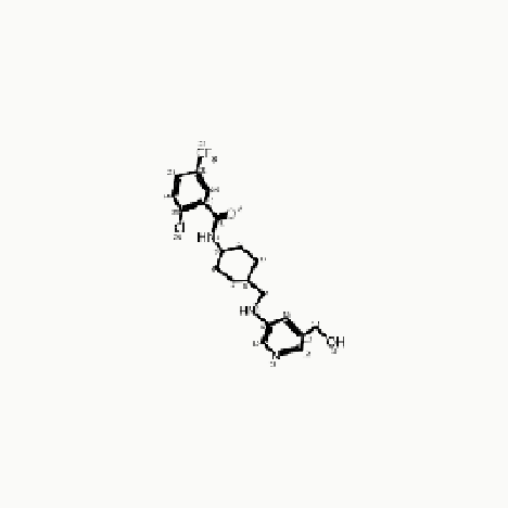 O=C(NC1CCC(CNc2cncc(CO)c2)CC1)c1cc(C(F)(F)F)ccc1Cl